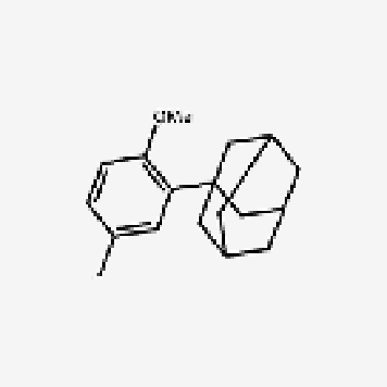 [CH2]c1ccc(OC)c(C23CC4CC(CC(C4)C2)C3)c1